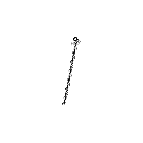 O=CCCOCCOCCOCCOCCOCCOCCOCCOCCOCCOCCOCCOCCNC(=O)c1ccccc1C=O